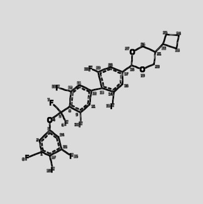 Fc1cc(OC(F)(F)c2c(F)cc(-c3c(F)cc(C4OCC(C5CCC5)CO4)cc3F)cc2F)cc(F)c1F